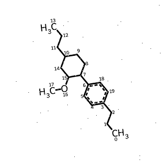 CCCc1ccc(C2CCC(CCC)CC2OC)cc1